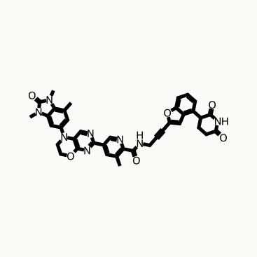 Cc1cc(-c2ncc3c(n2)OCCN3c2cc(C)c3c(c2)n(C)c(=O)n3C)cnc1C(=O)NCC#Cc1cc2c(C3CCC(=O)NC3=O)cccc2o1